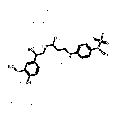 CSc1cc(C(O)CNC(C)CCNc2ccc(N(C)S(C)(=O)=O)cc2)ccc1O